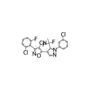 CC(F)(F)c1c(-c2onc(-c3c(F)cccc3Cl)c2C#N)cnn1-c1cccc(Cl)c1